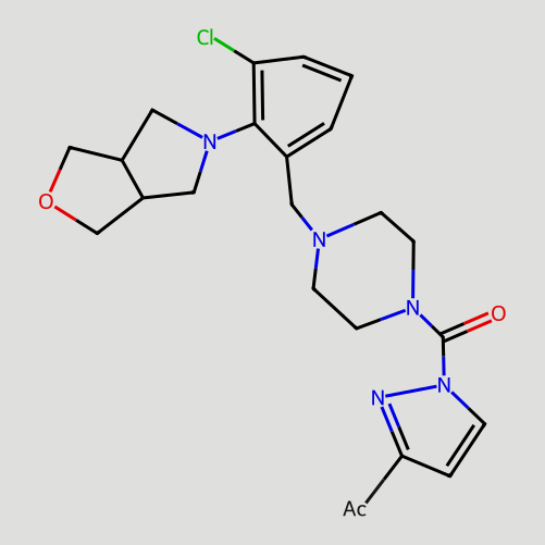 CC(=O)c1ccn(C(=O)N2CCN(Cc3cccc(Cl)c3N3CC4COCC4C3)CC2)n1